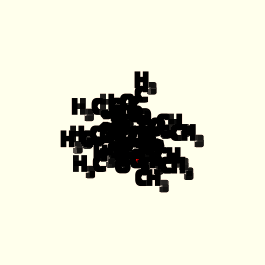 CCO[Si](OCC)(OCC)C(C([Si](C)(C)[O])([Si](OCC)(OCC)OCC)[Si](OCC)(OCC)OCC)[Si](OCC)(OCC)OCC